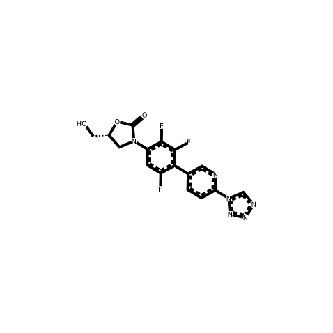 O=C1O[C@@H](CO)CN1c1cc(F)c(-c2ccc(-n3cnnn3)nc2)c(F)c1F